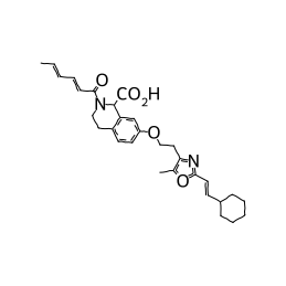 CC=CC=CC(=O)N1CCc2ccc(OCCc3nc(C=CC4CCCCC4)oc3C)cc2C1C(=O)O